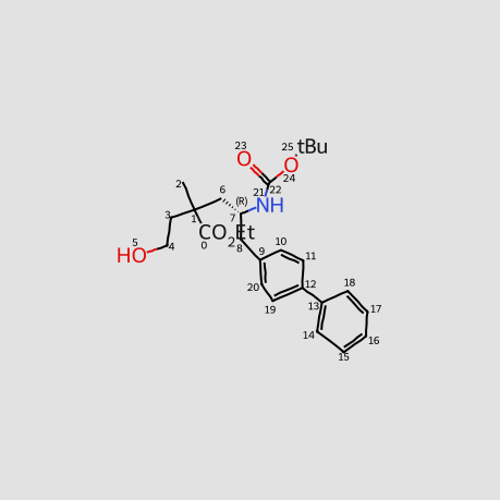 CCOC(=O)C(C)(CCO)C[C@@H](Cc1ccc(-c2ccccc2)cc1)NC(=O)OC(C)(C)C